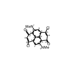 CNc1cc2c3c(c(NC)cc4c3c1C(=O)C=C4Cl)C(=O)C=C2Cl